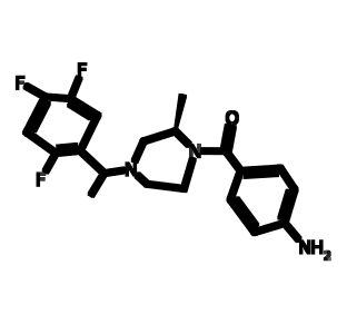 CC(c1cc(F)c(F)cc1F)N1CCN(C(=O)c2ccc(N)cc2)[C@H](C)C1